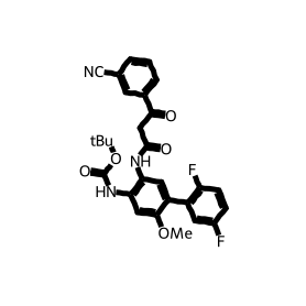 COc1cc(NC(=O)OC(C)(C)C)c(NC(=O)CC(=O)c2cccc(C#N)c2)cc1-c1cc(F)ccc1F